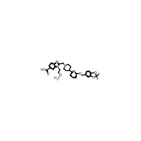 COCCn1c(CN2CCC(c3cccc(OCc4ccc5c(c4)OC(F)(F)O5)n3)CC2)nc2ccc(C(=O)O)cc21